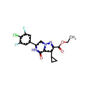 CCOC(=O)c1nn2cc(-c3cc(F)c(Cl)c(F)c3)[nH]c(=O)c2c1C1CC1